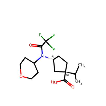 CC(C)[C@]1(C(=O)O)CC[C@@H](N(C(=O)C(F)(F)F)C2CCOCC2)C1